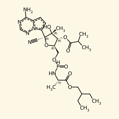 CCC(CC)COC(=O)[C@H](C)N[PH](=O)OC[C@H]1O[C@@](C#N)(c2ccc3c(N)ncnn23)[C@](C)(O)[C@@H]1OC(=O)C(C)C